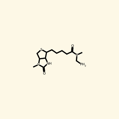 CB(CP)C(=O)CCCCC1SCC2C1NC(=O)N2C